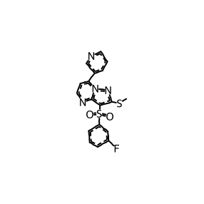 CSc1nn2c(-c3cccnc3)ccnc2c1S(=O)(=O)c1cccc(F)c1